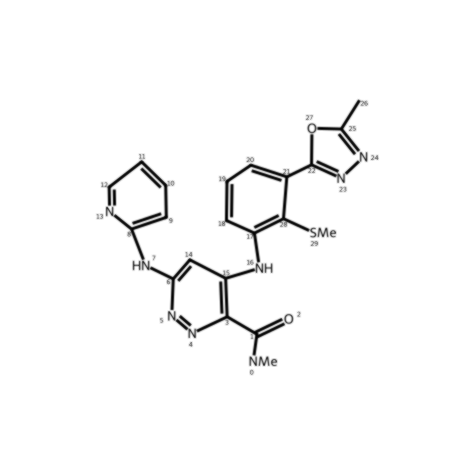 CNC(=O)c1nnc(Nc2ccccn2)cc1Nc1cccc(-c2nnc(C)o2)c1SC